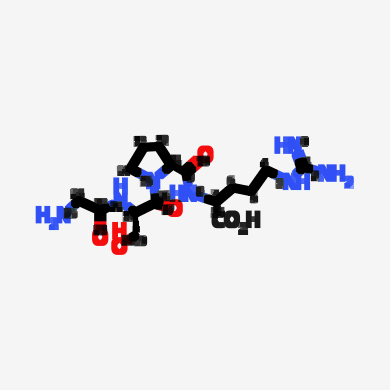 N=C(N)NCCC[C@H](NC(=O)[C@@H]1CCCN1C(=O)[C@H](CO)NC(=O)CN)C(=O)O